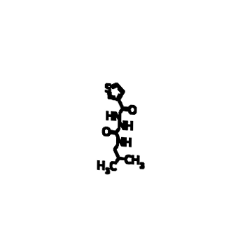 CC(C)CNC(=O)NNC(=O)c1ccsc1